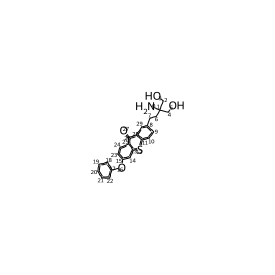 NC(CO)(CO)CCc1ccc2sc3cc(Oc4ccccc4)ccc3c(=O)c2c1